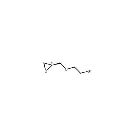 BrCCOC[C@@H]1CO1